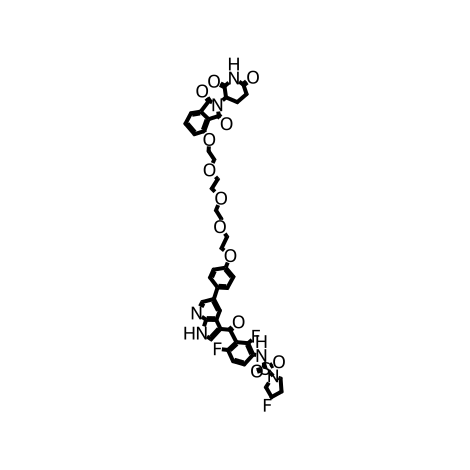 O=C1CCC(N2C(=O)c3cccc(OCCOCCOCCOCCOc4ccc(-c5cnc6[nH]cc(C(=O)c7c(F)ccc(NS(=O)(=O)N8CC[C@@H](F)C8)c7F)c6c5)cc4)c3C2=O)C(=O)N1